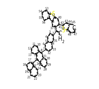 C=C(c1ccc2cc(-c3c4ccccc4c(-c4cccc5ccccc45)c4ccccc34)ccc2c1)c1cc2c(cc1-c1cc3ccccc3s1)sc1ccccc12